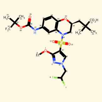 CCOc1nn(CC(F)F)cc1S(=O)(=O)N1C[C@H](CC(C)(C)C(=O)O)Oc2ccc(NC(=O)OC(C)(C)C(F)(F)F)cc21